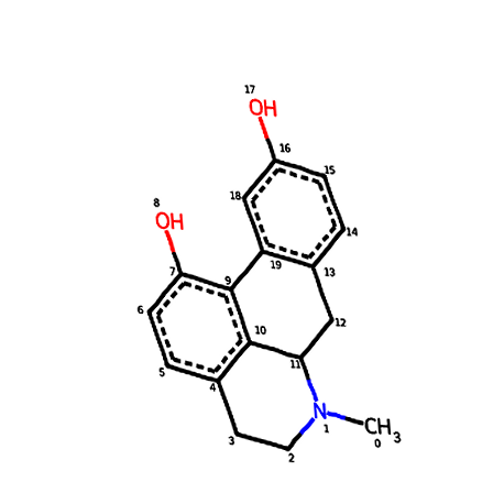 CN1CCc2ccc(O)c3c2C1Cc1ccc(O)cc1-3